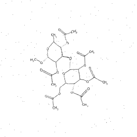 CO[C@@H]1OC(C)[C@H](OC(C)=O)C(O[C@H]2OC(COC(C)=O)[C@@H](OC(C)=O)C(OC(C)=O)C2OC(C)=O)C1OC(C)=O